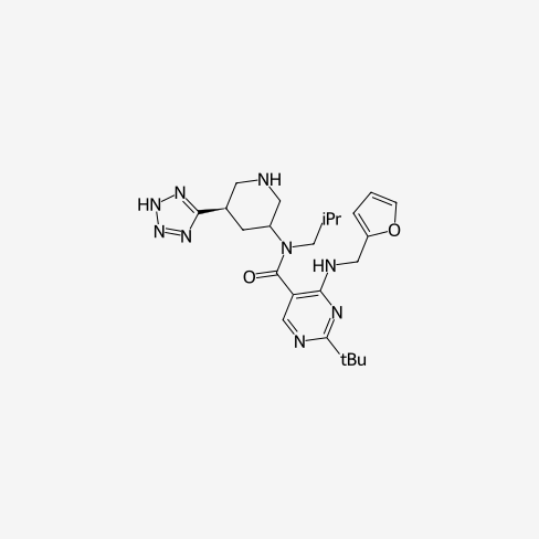 CC(C)CN(C(=O)c1cnc(C(C)(C)C)nc1NCc1ccco1)C1CNC[C@H](c2nn[nH]n2)C1